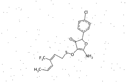 C/C=C\C(=C/CSOC1=C(N)OC(c2ccc(Cl)cc2)C1=O)C(F)(F)F